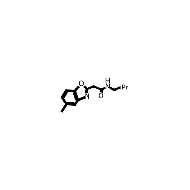 Cc1ccc2oc(CC(=O)NCC(C)C)nc2c1